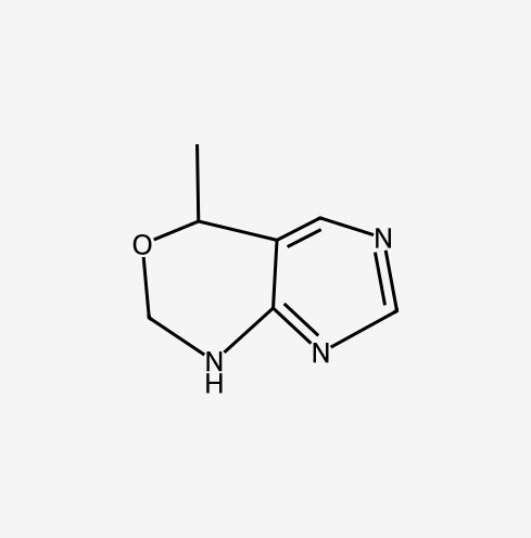 CC1OCNc2ncncc21